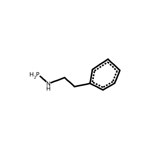 PNCCc1ccccc1